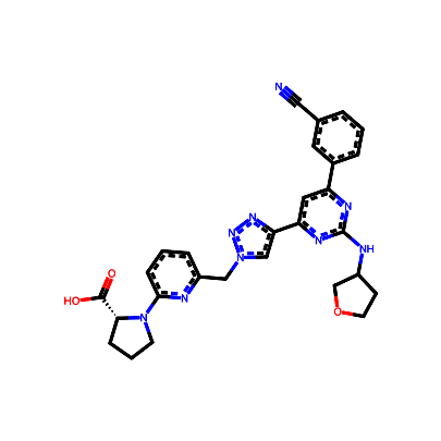 N#Cc1cccc(-c2cc(-c3cn(Cc4cccc(N5CCC[C@@H]5C(=O)O)n4)nn3)nc(NC3CCOC3)n2)c1